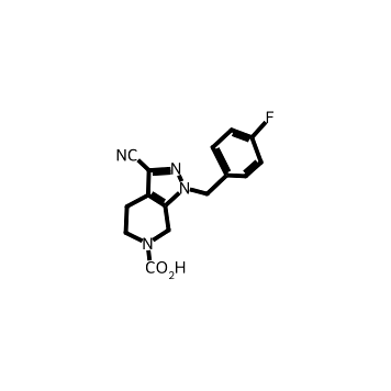 N#Cc1nn(Cc2ccc(F)cc2)c2c1CCN(C(=O)O)C2